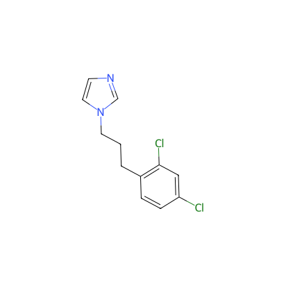 Clc1ccc(CCCn2ccnc2)c(Cl)c1